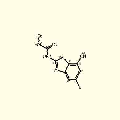 CCNC(=O)Nc1nc2cc(C)cc(C#N)c2s1